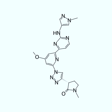 COc1cc(-c2ccnc(Nc3cnn(C)c3)n2)nc(-n2cc([C@@H]3CCN(C)C3=O)nn2)c1